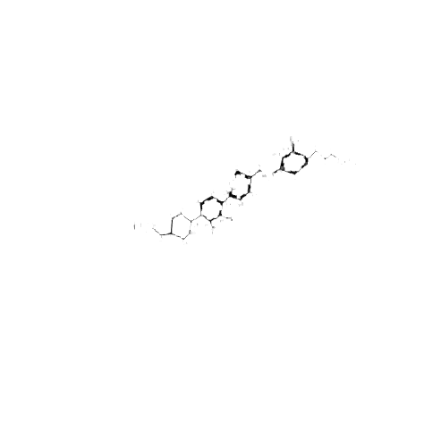 CCCCc1ccc(OCc2ccc(-c3ccc(C4CCC(CC)CC4)c(F)c3F)cc2)cc1F